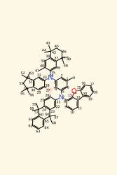 Cc1cc2c3c(c1)N(c1cccc4c1oc1ccccc14)c1cc4c(cc1B3c1cc3c(cc1N2c1cc2c(cc1C)C(C)(C)CCC2(C)C)C(C)(C)CC3(C)C)C(C)(C)c1ccccc1C4(C)C